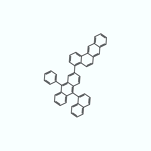 c1ccc(-c2c3ccccc3c(-c3cccc4ccccc34)c3ccc(-c4cccc5c4ccc4cc6ccccc6cc45)cc23)cc1